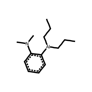 CC[CH2][Al]([CH2]CC)[c]1ccccc1N(C)C